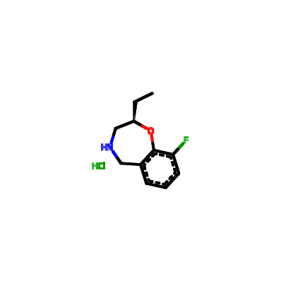 CC[C@@H]1CNCc2cccc(F)c2O1.Cl